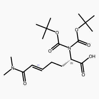 CN(C)C(=O)/C=C/CC[C@@H](C(=O)O)N(C(=O)OC(C)(C)C)C(=O)OC(C)(C)C